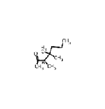 CCCC(C)(C)[C@@H](C)C(C)=O